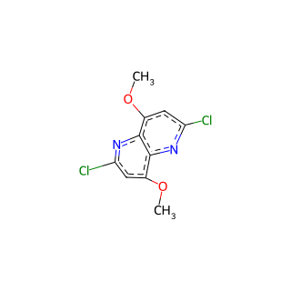 COc1cc(Cl)nc2c(OC)cc(Cl)nc12